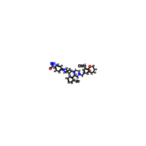 COc1cc(CN2CCN(C3CC4(C3)CN(c3ccc(C(N)=O)cc3)C4)[C@H](c3ccccc3C(C)C)C2)cc2c1OCCCC2